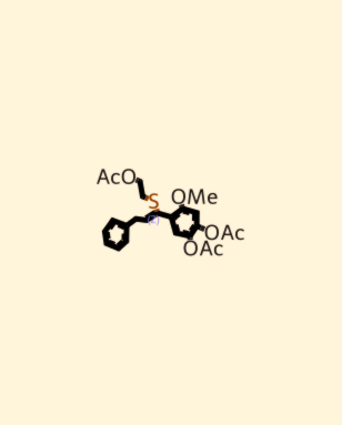 COc1cc(OC(C)=O)c(OC(C)=O)cc1/C(=C/Cc1ccccc1)SCCOC(C)=O